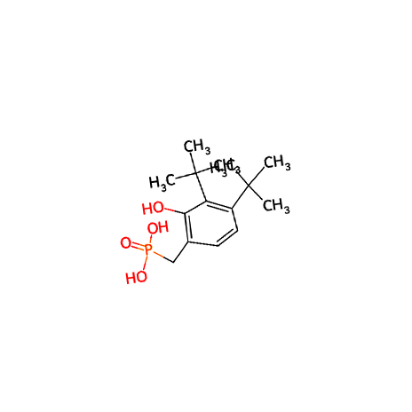 CC(C)(C)c1ccc(CP(=O)(O)O)c(O)c1C(C)(C)C